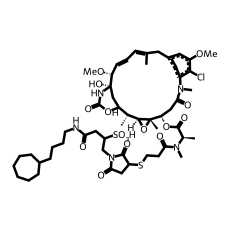 COc1cc2cc(c1Cl)N(C)C(=O)C[C@H](OC(=O)[C@@H](C)N(C)C(=O)CCSC1CC(=O)N(CC(CC(=O)NCCCCC3CCCCCC3)S(=O)(=O)O)C1=O)[C@]1(C)O[C@H]1[C@H](C)[C@@H]1C[C@@](O)(NC(=O)O1)[C@H](OC)/C=C/C=C(\C)C2